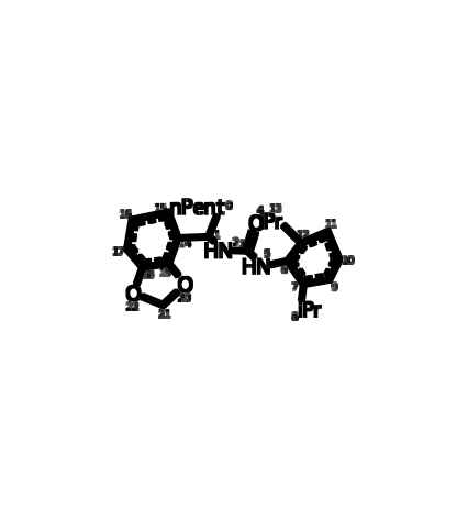 CCCCCC(NC(=O)Nc1c(C(C)C)cccc1C(C)C)c1cccc2c1OCO2